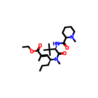 CCC[C@@H](/C=C(\C)C(=O)OCC)N(C)C(=O)[C@@H](NC(=O)C1CCCCN1C)C(C)(C)C